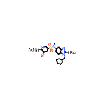 CC(=O)Nc1ncc(S(=O)(=O)N(C)c2ccc3c(c2)nc(C(C)(C)C)n3CC2CCCCC2)cc1Br